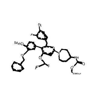 COc1ccc(-c2c(OC(F)F)cc(N3CCC(NC(=O)OC(C)(C)C)CC3)nc2-c2ccc(C#N)c(F)c2)cc1OCc1ccccc1